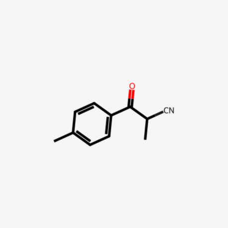 Cc1ccc(C(=O)C(C)C#N)cc1